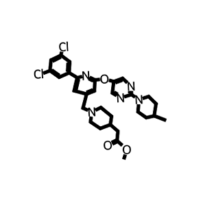 COC(=O)CC1CCN(Cc2cc(Oc3cnc(N4CCC(C)CC4)nc3)nc(-c3cc(Cl)cc(Cl)c3)c2)CC1